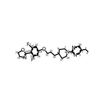 CCc1cnc(N2CCC(CCCOc3cc(F)c(C4=NCCO4)c(F)c3)CC2)nc1